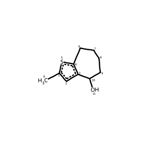 Cc1cc2c(s1)CCCCC2O